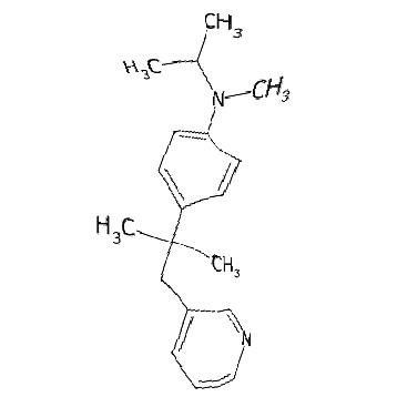 CC(C)N(C)c1ccc(C(C)(C)Cc2cccnc2)cc1